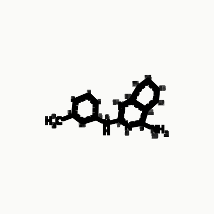 Cc1cccc(Nc2nc(N)c3ccccc3n2)c1